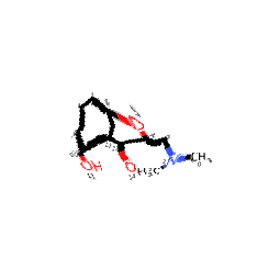 CN(C)C=C1Oc2cccc(O)c2C1=O